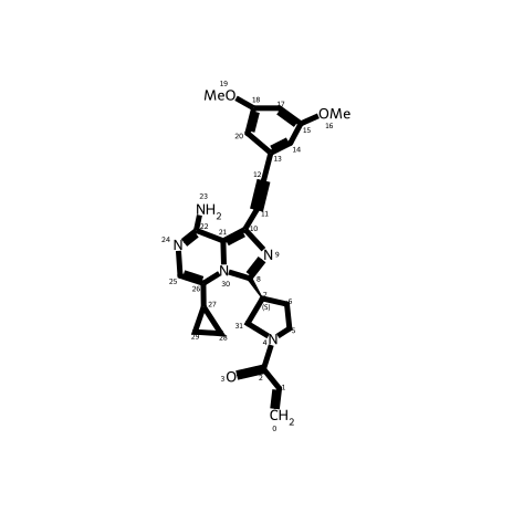 C=CC(=O)N1CC[C@H](c2nc(C#Cc3cc(OC)cc(OC)c3)c3c(N)ncc(C4CC4)n23)C1